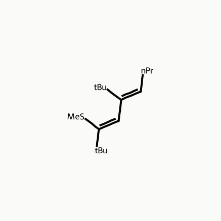 CCC/C=C(/C=C(\SC)C(C)(C)C)C(C)(C)C